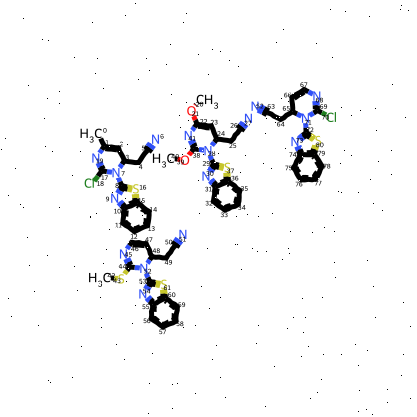 CC1=CC(CC#N)N(c2nc3ccccc3s2)C(Cl)=N1.COC1=CC(CC#N)N(c2nc3ccccc3s2)C(OC)=N1.CSC1=NC=CC(CC#N)N1c1nc2ccccc2s1.N#CCC1C=CN=C(Cl)N1c1nc2ccccc2s1